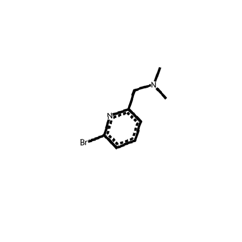 CN(C)Cc1cccc(Br)n1